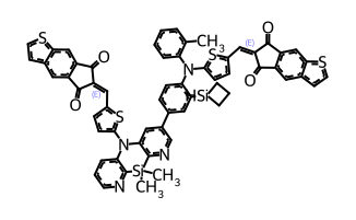 Cc1ccccc1N(c1ccc(/C=C2\C(=O)c3cc4ccsc4cc3C2=O)s1)c1ccc(-c2cnc3c(c2)N(c2ccc(/C=C4\C(=O)c5cc6ccsc6cc5C4=O)s2)c2cccnc2[Si]3(C)C)cc1[SiH]1CCC1